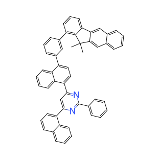 CC1(C)c2cc3ccccc3cc2-c2cccc(-c3cccc(-c4ccc(-c5cc(-c6cccc7ccccc67)nc(-c6ccccc6)n5)c5ccccc45)c3)c21